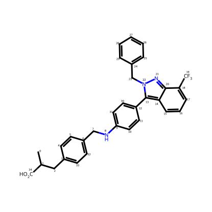 CC(Cc1ccc(CNc2ccc(-c3c4cccc(C(F)(F)F)c4nn3Cc3ccccc3)cc2)cc1)C(=O)O